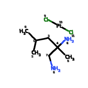 CC(C)CC(C)(N)CN.[Cl][Pt][Cl]